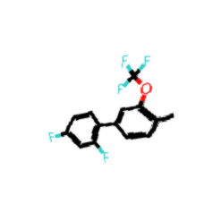 Cc1ccc(-c2ccc(F)cc2F)cc1OC(F)(F)F